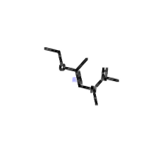 CCO/C(C)=C/N(C)NC